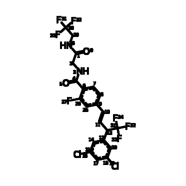 O=C(CNC(=O)c1ccc(/C=C/C(c2cc(Cl)cc(Cl)c2)C(F)(F)F)cc1F)NCC(F)(F)F